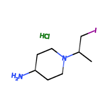 CC(CI)N1CCC(N)CC1.Cl